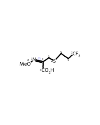 CO/N=C(/CSCCC(F)(F)F)C(=O)O